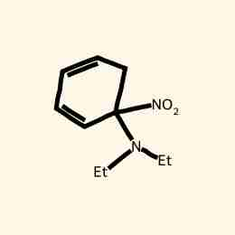 CCN(CC)C1([N+](=O)[O-])C=CC=CC1